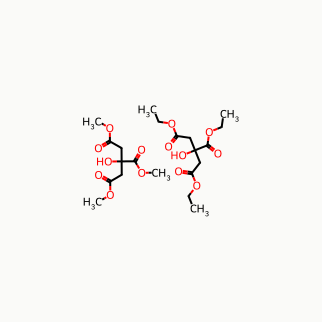 CCOC(=O)CC(O)(CC(=O)OCC)C(=O)OCC.COC(=O)CC(O)(CC(=O)OC)C(=O)OC